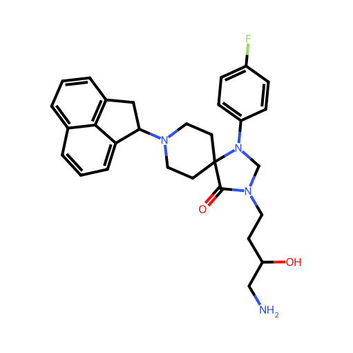 NCC(O)CCN1CN(c2ccc(F)cc2)C2(CCN(C3Cc4cccc5cccc3c45)CC2)C1=O